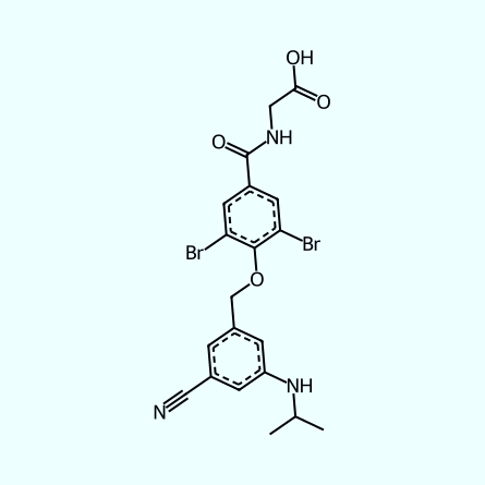 CC(C)Nc1cc(C#N)cc(COc2c(Br)cc(C(=O)NCC(=O)O)cc2Br)c1